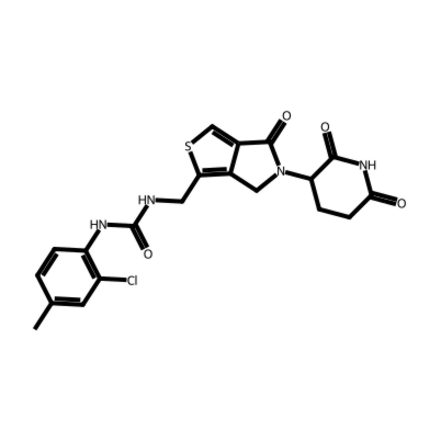 Cc1ccc(NC(=O)NCc2scc3c2CN(C2CCC(=O)NC2=O)C3=O)c(Cl)c1